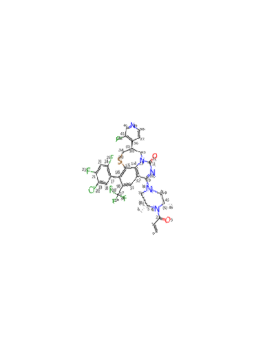 C=CC(=O)N1[C@H](C)CN(c2nc(=O)n3c4c(c(-c5cc(Cl)c(F)cc5F)c(C(F)(F)F)cc24)SC[C@@H](c2ccncc2F)C3)C[C@@H]1C